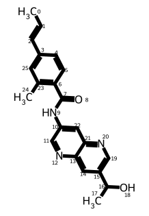 C/C=C/c1ccc(C(=O)Nc2cnc3cc(C(C)O)cnc3c2)c(C)c1